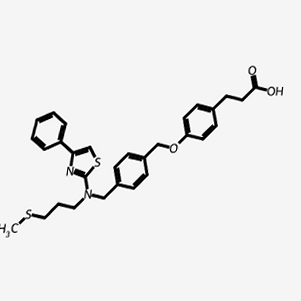 CSCCCN(Cc1ccc(COc2ccc(CCC(=O)O)cc2)cc1)c1nc(-c2ccccc2)cs1